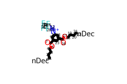 CCCCCCCCCCCCCCOC(=O)c1cc([N+]#N)cc(C(=O)OCCCCCCCCCCCCCC)c1.F[B-](F)(F)F